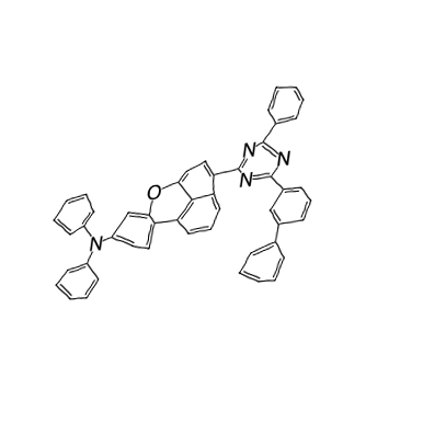 c1ccc(-c2cccc(-c3nc(-c4ccccc4)nc(-c4ccc5c6c(cccc46)-c4ccc(N(c6ccccc6)c6ccccc6)cc4O5)n3)c2)cc1